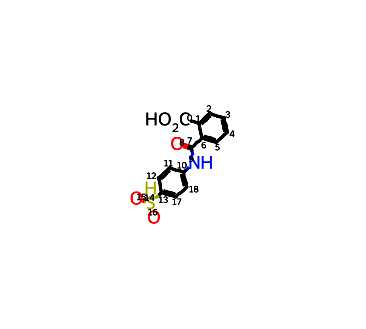 O=C(O)c1ccccc1C(=O)Nc1ccc([SH](=O)=O)cc1